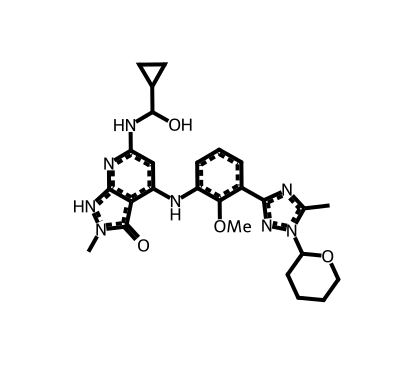 COc1c(Nc2cc(NC(O)C3CC3)nc3[nH]n(C)c(=O)c23)cccc1-c1nc(C)n(C2CCCCO2)n1